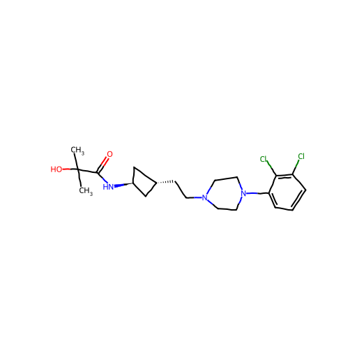 CC(C)(O)C(=O)N[C@H]1C[C@H](CCN2CCN(c3cccc(Cl)c3Cl)CC2)C1